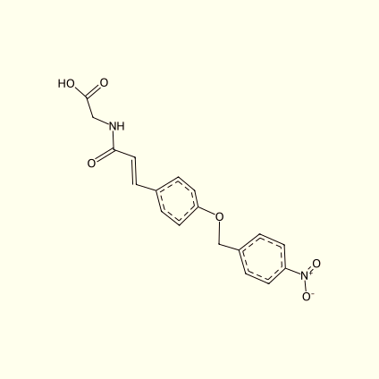 O=C(O)CNC(=O)C=Cc1ccc(OCc2ccc([N+](=O)[O-])cc2)cc1